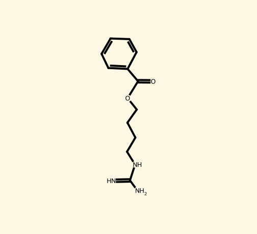 N=C(N)NCCCCOC(=O)c1ccccc1